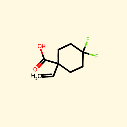 C=CC1(C(=O)O)CCC(F)(F)CC1